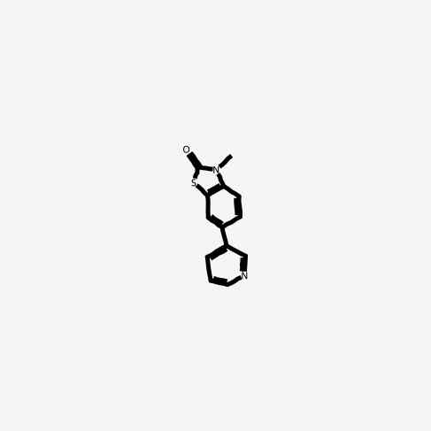 Cn1c(=O)sc2cc(-c3cccnc3)ccc21